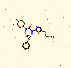 C[C@H]1CC[C@H](N(C[C@@H]2C[C@H]2c2ccccc2)C(=O)Nc2ncc(SCC(=O)O)s2)CC1